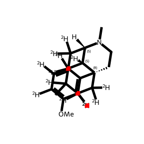 [2H]c1c([2H])c2c(c([2H])c1OC)[C@@]13CCN(C)[C@@H](C2([2H])[2H])[C@@]1([2H])C([2H])([2H])C([2H])(C)C([2H])([2H])C3([2H])[2H]